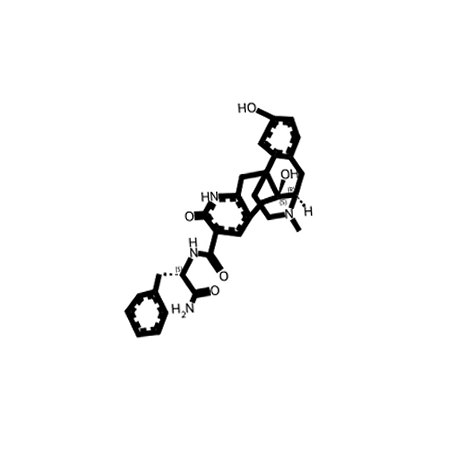 CN1CCC23Cc4[nH]c(=O)c(C(=O)N[C@@H](Cc5ccccc5)C(N)=O)cc4C[C@@]2(O)[C@H]1Cc1ccc(O)cc13